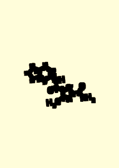 Cc1nc(C(N)=O)sc1C(=O)Nc1ccc2c(c1)CCC2